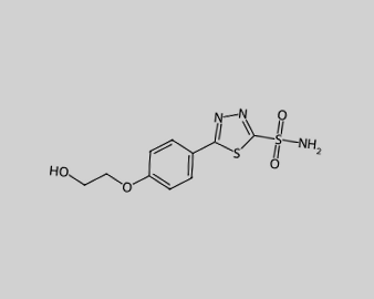 NS(=O)(=O)c1nnc(-c2ccc(OCCO)cc2)s1